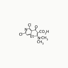 CCC(=C(C(=O)O)C(=O)c1ccc(Cl)nc1Cl)N(C)C